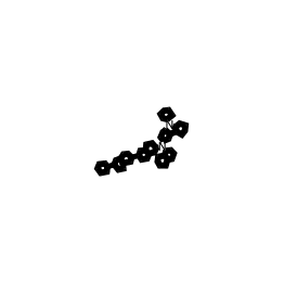 c1ccc(-c2ccc3cc(-c4ccc5cc(N(c6ccc7c(c6)c6ccccc6n7-c6ccccc6)c6cccc7ccccc67)ccc5c4)ccc3c2)cc1